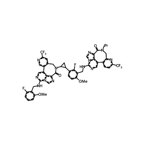 COc1cccc(F)c1CNc1ncc2c3c(ncn13)C(=O)N(C1CC1c1ccc(OC)c(CNc3ncc4c5c(ncn35)C(=O)N(C(C)C)Cc3nc(C(F)(F)F)ccc3-4)c1F)Cc1cc(C(F)(F)F)ncc1-2